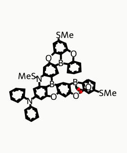 CSc1cc2c3c(c1)Oc1cc4c(cc1B3c1ccccc1O2)B1c2cc3c(cc2N(SC)c2cc(N(c5ccccc5)c5ccccc5)cc(c21)O4)Oc1cc(SC)cc2c1B3c1ccccc1O2